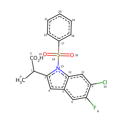 CC(C(=O)O)c1cc2cc(F)c(Cl)cc2n1S(=O)(=O)c1ccccc1